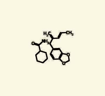 C=C(C=CC)Cc1ccc2c(c1)OCO2.NC(=O)C1CCCCC1